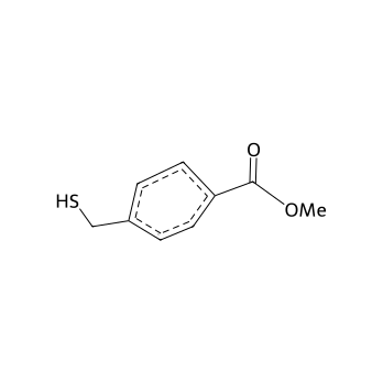 COC(=O)c1ccc(CS)cc1